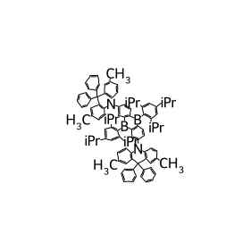 Cc1ccc2c(c1)C(c1ccccc1)(c1ccccc1)c1cc(C)ccc1N2c1ccc2c(c1)B(c1c(C(C)C)cc(C(C)C)cc1C(C)C)c1cc(N3c4ccc(C)cc4C(c4ccccc4)(c4ccccc4)c4cc(C)ccc43)ccc1B2c1c(C(C)C)cc(C(C)C)cc1C(C)C